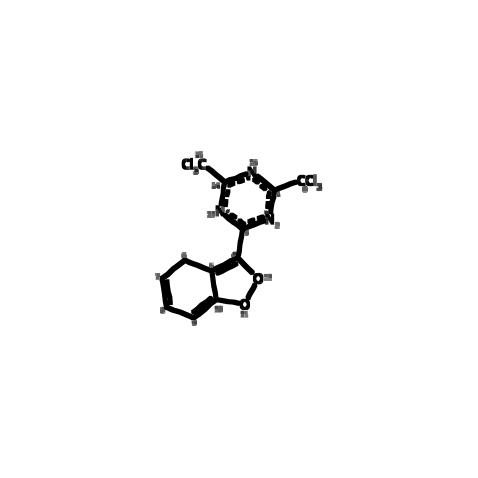 ClC(Cl)(Cl)c1nc(C2=C3CC=CC=C3OO2)nc(C(Cl)(Cl)Cl)n1